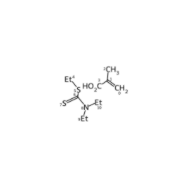 C=C(C)C(=O)O.CCSC(=S)N(CC)CC